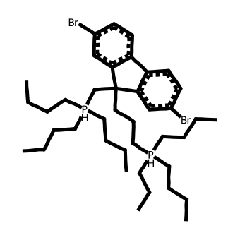 CCCC[PH](CCC)(CCCC)CCCC1(C[PH](CCCC)(CCCC)CCCC)c2cc(Br)ccc2-c2ccc(Br)cc21